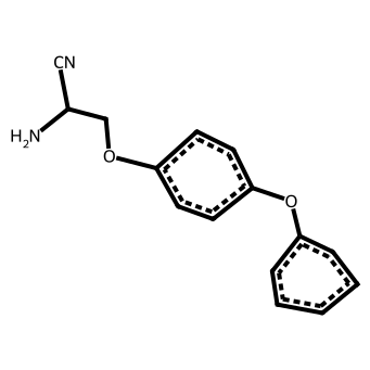 N#CC(N)COc1ccc(Oc2ccccc2)cc1